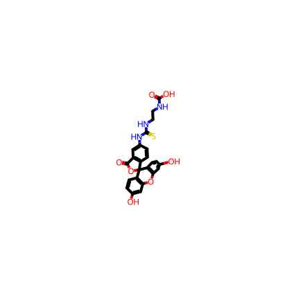 O=C(O)NCCNC(=S)Nc1ccc2c(c1)C(=O)OC21c2ccc(O)cc2Oc2cc(O)ccc21